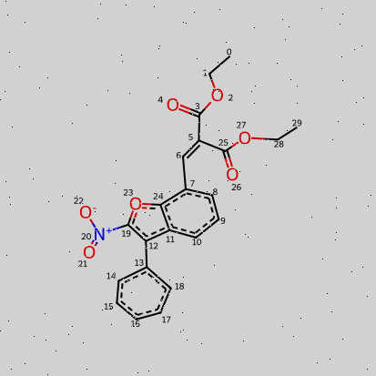 CCOC(=O)C(=Cc1cccc2c(-c3ccccc3)c([N+](=O)[O-])oc12)C(=O)OCC